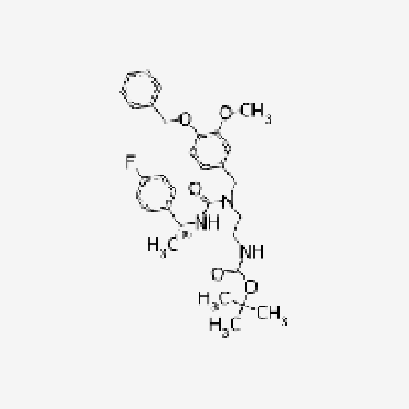 COc1cc(CN(CCNC(=O)OC(C)(C)C)C(=O)N[C@H](C)c2ccc(F)cc2)ccc1OCc1ccccc1